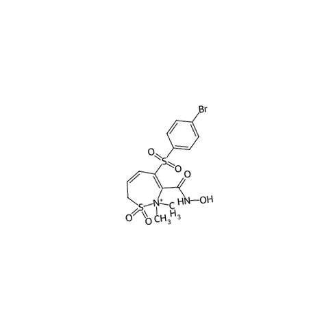 C[N+]1(C)C(C(=O)NO)=C(S(=O)(=O)c2ccc(Br)cc2)C=CCS1(=O)=O